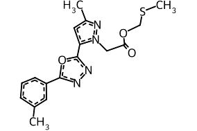 CSCOC(=O)Cn1nc(C)cc1-c1nnc(-c2cccc(C)c2)o1